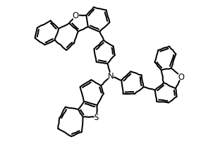 C1=Cc2sc3cc(N(c4ccc(-c5cccc6oc7ccccc7c56)cc4)c4ccc(-c5cccc6oc7c8ccccc8ccc7c56)cc4)ccc3c2C=CC1